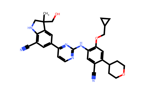 CC1(CO)CNc2c(C#N)cc(-c3ccnc(Nc4cc(C#N)c(C5CCOCC5)cc4OCC4CC4)n3)cc21